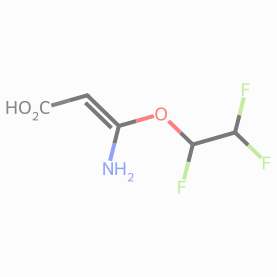 N/C(=C\C(=O)O)OC(F)C(F)F